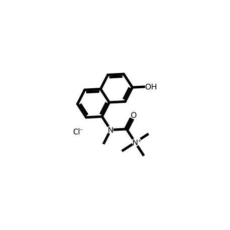 CN(C(=O)[N+](C)(C)C)c1cccc2ccc(O)cc12.[Cl-]